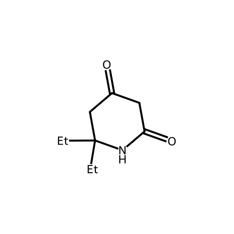 CCC1(CC)CC(=O)CC(=O)N1